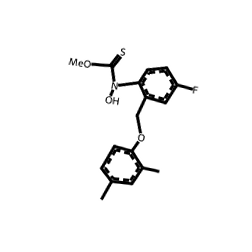 COC(=S)N(O)c1ccc(F)cc1COc1ccc(C)cc1C